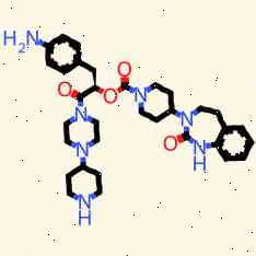 Nc1ccc(C[C@@H](OC(=O)N2CCC(N3CCc4ccccc4NC3=O)CC2)C(=O)N2CCN(C3CCNCC3)CC2)cc1